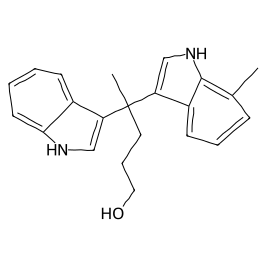 Cc1cccc2c(C(C)(CCCO)c3c[nH]c4ccccc34)c[nH]c12